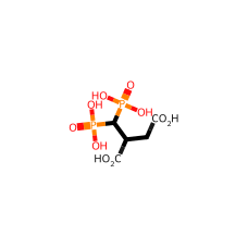 O=C(O)CC(C(=O)O)C(P(=O)(O)O)P(=O)(O)O